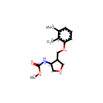 COc1cccc(OCC2COCC2NC(=O)OC(C)(C)C)c1[N+](=O)[O-]